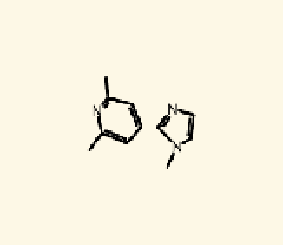 Cc1cccc(C)n1.Cn1ccnc1